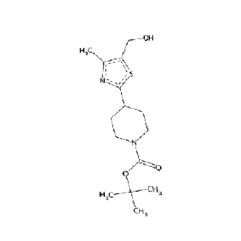 Cc1nc(C2CCN(C(=O)OC(C)(C)C)CC2)sc1CO